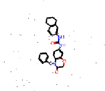 O=C(Nc1ccc2c(c1)CCCC2)Nc1ccc2c(c1)OCC(=O)N2Cc1ccccc1